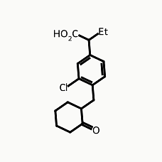 CCC(C(=O)O)c1ccc(CC2CCCCC2=O)c(Cl)c1